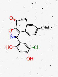 CCCC(=O)c1onc(-c2cc(Cl)c(O)cc2O)c1-c1ccc(OC)cc1